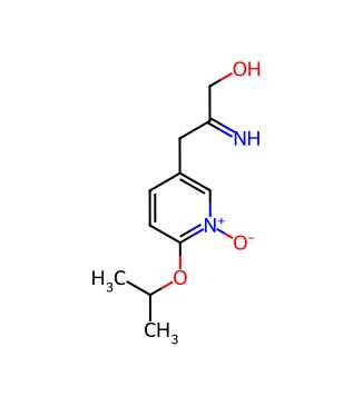 CC(C)Oc1ccc(CC(=N)CO)c[n+]1[O-]